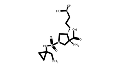 NCC1(NS(=O)(=O)N2C[C@H](CCCB(O)O)[C@](N)(C(=O)O)C2)CC1